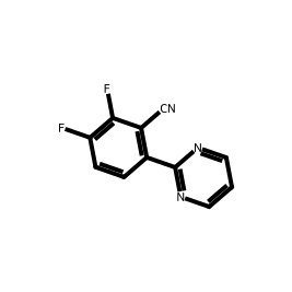 N#Cc1c(-c2ncccn2)ccc(F)c1F